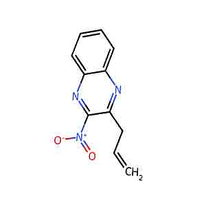 C=CCc1nc2ccccc2nc1[N+](=O)[O-]